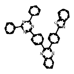 c1ccc(-c2nc(-c3ccccc3)nc(-c3ccc(-c4nc5ccccc5nc4-c4ccc(-c5nc6ccccc6o5)cc4)cc3)n2)cc1